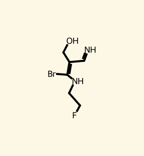 N=C/C(CO)=C(/Br)NCCF